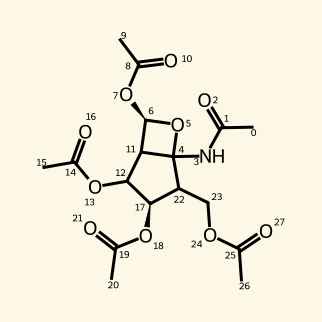 CC(=O)NC12O[C@H](OC(C)=O)C1C(OC(C)=O)[C@H](OC(C)=O)C2COC(C)=O